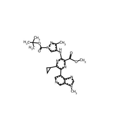 COC(=O)c1nc(-c2cncc3c2ncn3C)c(C2CC2)nc1Nc1cn(C(=O)OC(C)(C)C)nc1C